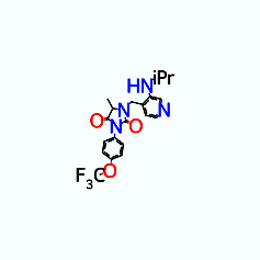 CC(C)Nc1cnccc1CN1C(=O)N(c2ccc(OC(F)(F)F)cc2)C(=O)C1C